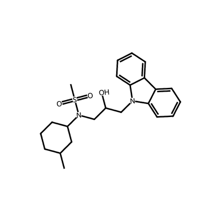 CC1CCCC(N(CC(O)Cn2c3ccccc3c3ccccc32)S(C)(=O)=O)C1